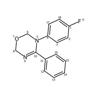 Fc1ccc(N2COCN=C2c2ccccc2)cc1